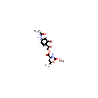 C=CC[C@H](NC(=O)OC(C)(C)C)C(=O)OCC(=O)c1ccc(NC(=O)OC)cc1Br